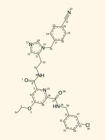 CCOc1cc(C(=O)NCCc2cncn2Cc2ccc(C#N)cc2)nc(C(=O)NCc2cccc(Cl)c2)c1